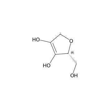 OC[C@H]1O[CH]C(O)=C1O